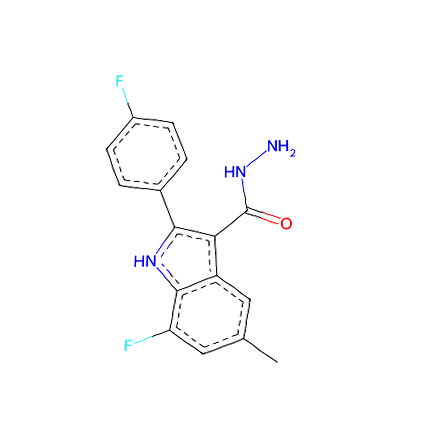 Cc1cc(F)c2[nH]c(-c3ccc(F)cc3)c(C(=O)NN)c2c1